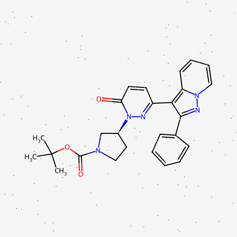 CC(C)(C)OC(=O)N1CC[C@H](n2nc(-c3c(-c4ccccc4)nn4ccccc34)ccc2=O)C1